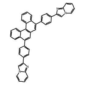 c1ccc2c(c1)c(-c1ccc(-c3cn4ccccc4n3)cc1)cc1cc(-c3ccc(-c4cn5ccccc5n4)cc3)c3ccccc3c12